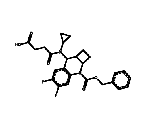 O=C(O)CCC(=O)N(C1CC1)C1c2cc(F)c(F)cc2N(C(=O)OCc2ccccc2)C2CCC21